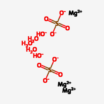 O.O.O.O=S(=O)([O-])[O-].O=S(=O)([O-])[O-].[Mg+2].[Mg+2].[Mg+2].[OH-].[OH-]